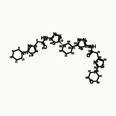 O=C(Cc1csc(N2CCCCC2)n1)Nc1nnc([C@H]2CCC[C@H](c3nnc(NC(=O)Cc4csc(N5CCOCC5)n4)s3)C2)s1